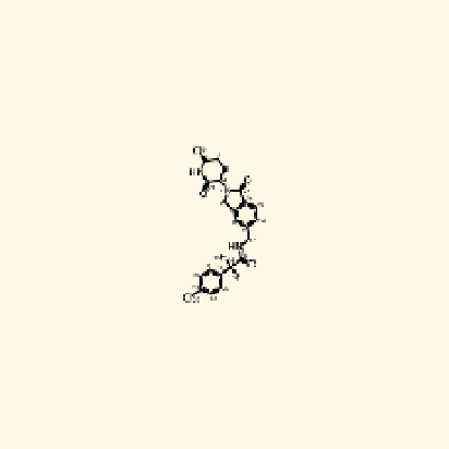 O=C1CCC(N2Cc3cc(CNC(=O)C(F)(F)c4ccc(Cl)cc4)ccc3C2=O)C(=O)N1